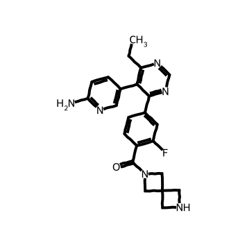 CCc1ncnc(-c2ccc(C(=O)N3CC4(CNC4)C3)c(F)c2)c1-c1ccc(N)nc1